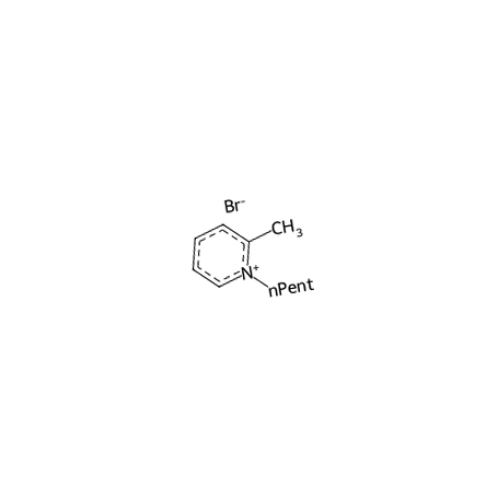 CCCCC[n+]1ccccc1C.[Br-]